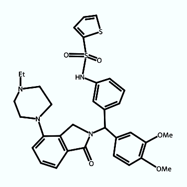 CCN1CCN(c2cccc3c2CN(C(c2cccc(NS(=O)(=O)c4cccs4)c2)c2ccc(OC)c(OC)c2)C3=O)CC1